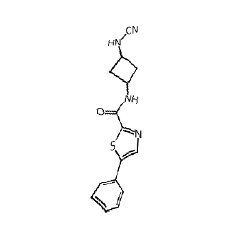 N#CNC1CC(NC(=O)c2ncc(-c3ccccc3)s2)C1